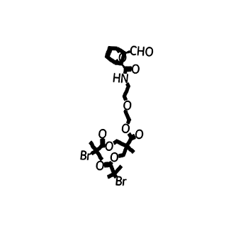 CC(C)(Br)C(=O)OCC(C)(COC(=O)C(C)(C)Br)C(=O)OCCOCCNC(=O)[C@H]1C2C=CC(O2)[C@H]1C=O